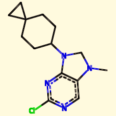 CN1CN(C2CCC3(CC2)CC3)c2nc(Cl)ncc21